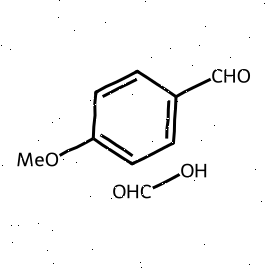 COc1ccc(C=O)cc1.O=CO